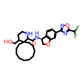 O=C(N[C@@H]1COc2cc(-c3noc(C(F)F)n3)ccc21)C1NCCC(CO)C12CCCCCCCCCC2